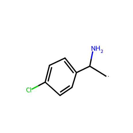 [CH2]C(N)c1ccc(Cl)cc1